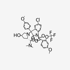 COc1ccc(C2(N3C[C@H](O)C[C@H]3C(=O)N(C)C)C(=O)N(S(=O)(=O)c3ccc(OC)cc3OC(F)(F)F)c3ccc(Cl)cc32)cc1